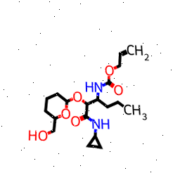 C=CCOC(=O)NC(CCC)C(OC1CCCC(CO)O1)C(=O)NC1CC1